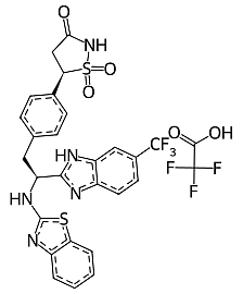 O=C(O)C(F)(F)F.O=C1C[C@H](c2ccc(C[C@H](Nc3nc4ccccc4s3)c3nc4ccc(C(F)(F)F)cc4[nH]3)cc2)S(=O)(=O)N1